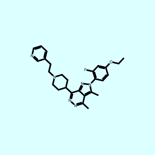 CCOc1ccc(-n2nc3c(C4CCN(CCc5cccnc5)CC4)nnc(C)c3c2C)c(F)c1